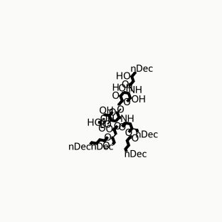 CCCCCCCCCCCCCC(=O)O[C@H](CCCCCCCCCCC)CC(=O)NC1C(OC(=O)C[C@@H](CCCCCCCCCCC)OC(=O)CCCCCCCCCCCCC)[C@@H](OP(=O)(O)O)C(CO)O[C@H]1OCC1O[C@H](O)C(NC(=O)C[C@H](O)CCCCCCCCCCC)C(O)[C@@H]1O